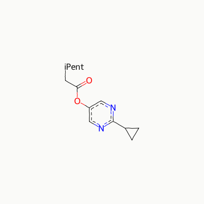 CCCC(C)CC(=O)Oc1cnc(C2CC2)nc1